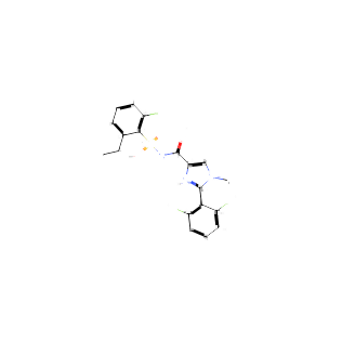 CCc1cccc(F)c1S(=O)(=O)NC(=O)c1cn(C)c(-c2c(F)cccc2F)n1